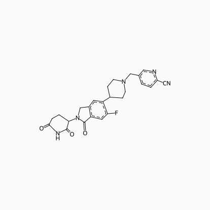 N#Cc1ccc(CN2CCC(c3cc4c(cc3F)C(=O)N(C3CCC(=O)NC3=O)C4)CC2)cn1